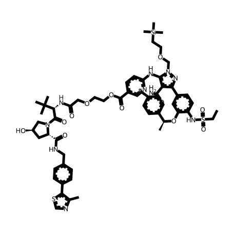 CCS(=O)(=O)Nc1ccc(-c2nn(COCC[Si](C)(C)C)c(Nc3ccc(C(=O)OCCOCC(=O)N[C@H](C(=O)N4C[C@H](O)C[C@H]4C(=O)NCc4ccc(-c5scnc5C)cc4)C(C)(C)C)cn3)c2C(N)=O)cc1O[C@@H](C)c1ccc(F)cc1